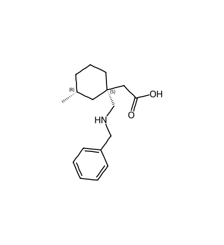 C[C@@H]1CCC[C@@](CNCc2ccccc2)(CC(=O)O)C1